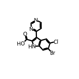 O=C(O)c1[nH]c2cc(Br)c(Cl)cc2c1-c1ccncn1